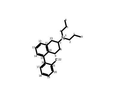 CCCN(CCC)C1CCc2c(cccc2-c2ccccc2F)C1